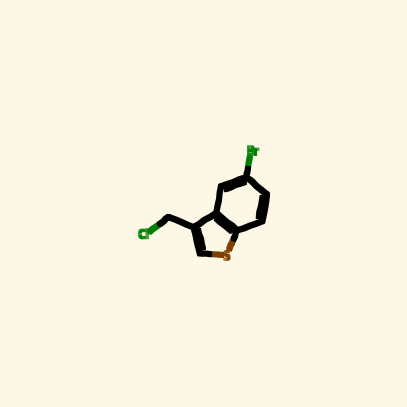 ClCc1csc2ccc(Br)cc12